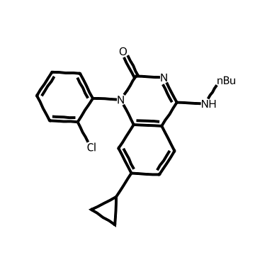 CCCCNc1nc(=O)n(-c2ccccc2Cl)c2cc(C3CC3)ccc12